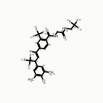 Cc1cc(C(C=C(F)c2ccc(C(=O)NCC(=O)NCC(F)(F)F)c(C(F)(F)F)c2)C(F)(F)F)cc(C)c1Cl